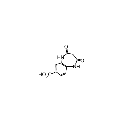 O=C1CC(=O)Nc2cc(C(=O)O)ccc2N1